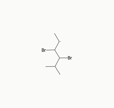 C[CH]C(Br)C(Br)C(C)C